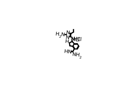 CCc1nc(N)[nH]c1N=C1CCc2c(C(=N)N)cccc21.Cl.Cl